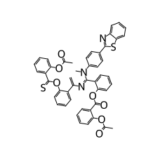 C=C(/N=C(/c1ccccc1OC(=O)c1ccccc1OC(C)=O)N(C)c1ccc(-c2nc3ccccc3s2)cc1)c1ccccc1OC(=S)c1ccccc1OC(C)=O